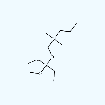 CCC[Si](C)(C)CO[Si](CC)(OC)OC